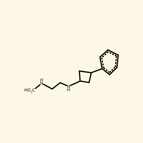 O=C(O)NCCNC1CC(c2ccccc2)C1